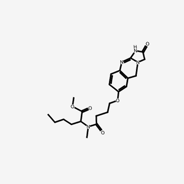 CCCCC(C(=O)OC)N(C)C(=O)CCCOc1ccc2c(c1)CN1CC(=O)NC1=N2